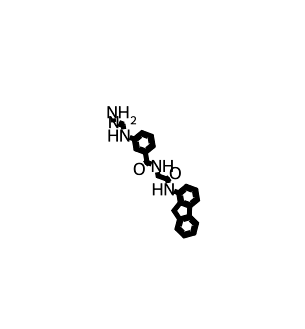 NN=CNc1cccc(C(=O)NCC(=O)Nc2cccc3c2Cc2ccccc2-3)c1